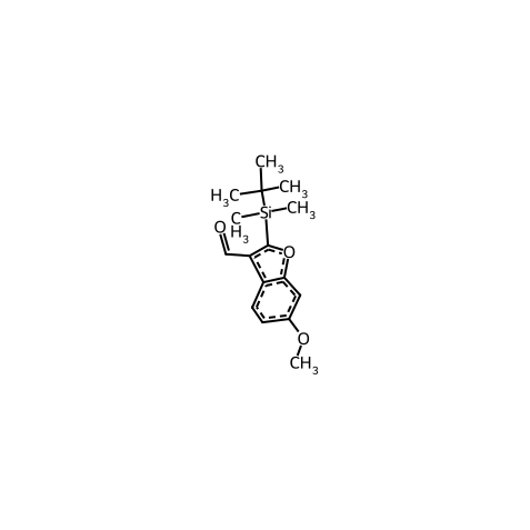 COc1ccc2c(C=O)c([Si](C)(C)C(C)(C)C)oc2c1